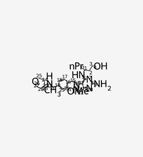 CCC[C@@H](CCO)Nc1nc(N)nc2cnn(Cc3ccc(CNC4(C)CCOCC4)cc3OC)c12